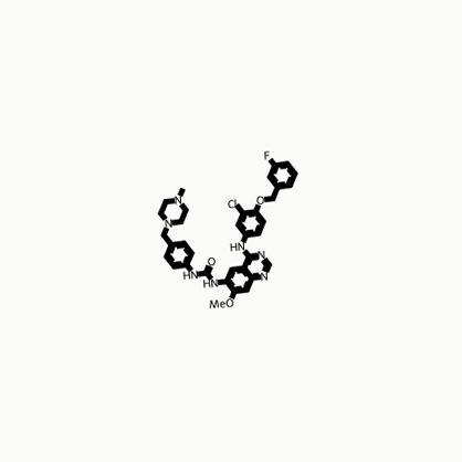 COc1cc2ncnc(Nc3ccc(OCc4cccc(F)c4)c(Cl)c3)c2cc1NC(=O)Nc1ccc(CN2CCN(C)CC2)cc1